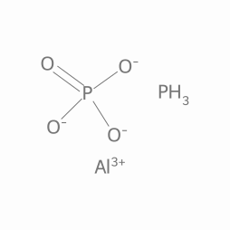 O=P([O-])([O-])[O-].P.[Al+3]